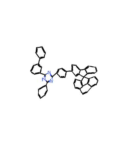 c1ccc(-c2cccc(-c3nc(-c4ccccc4)nc(-c4ccc(-c5ccc6c(c5)C5(c7ccccc7-6)c6cccc7ccc8cccc5c8c67)cc4)n3)c2)cc1